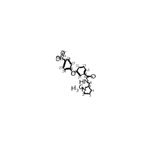 CN1CCCC1CNC(=O)c1cccc(Oc2ccc([N+](=O)[O-])cc2)c1